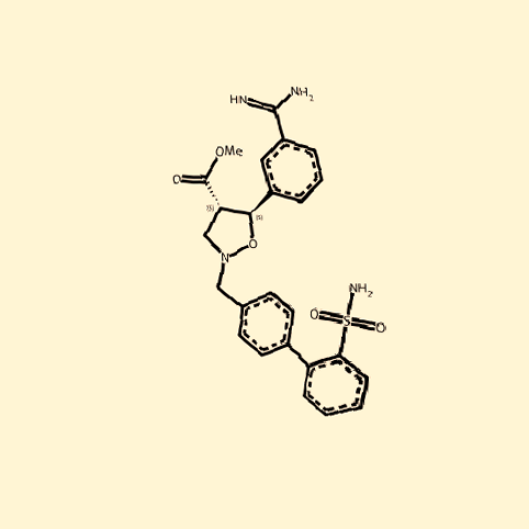 COC(=O)[C@H]1CN(Cc2ccc(-c3ccccc3S(N)(=O)=O)cc2)O[C@@H]1c1cccc(C(=N)N)c1